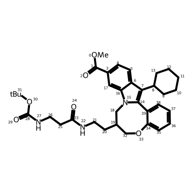 COC(=O)c1ccc2c(C3CCCCC3)c3n(c2c1)CC(CCNC(=O)CCNC(=O)OC(C)(C)C)COc1ccccc1-3